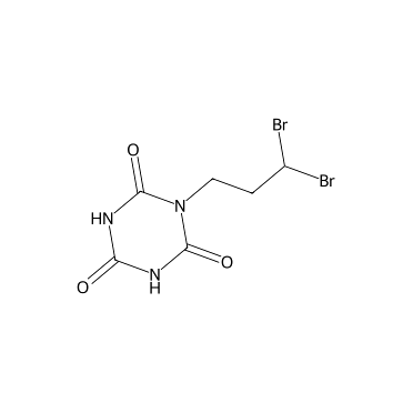 O=c1[nH]c(=O)n(CCC(Br)Br)c(=O)[nH]1